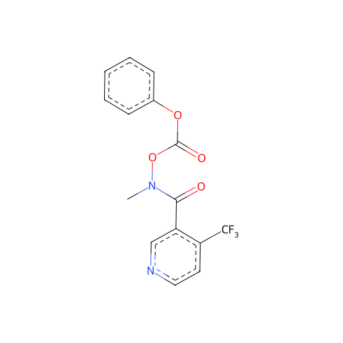 CN(OC(=O)Oc1ccccc1)C(=O)c1cnccc1C(F)(F)F